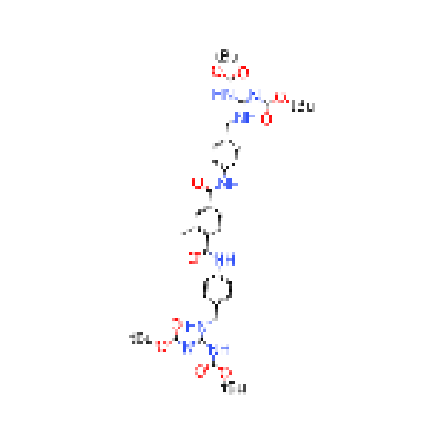 Cc1cc(C(=O)Nc2ccc(CN/C(=N\C(=O)OC(C)(C)C)NC(=O)OC(C)(C)C)cc2)ccc1C(=O)Nc1ccc(CN/C(=N\C(=O)OC(C)(C)C)NC(=O)OC(C)(C)C)cc1